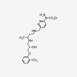 CCOC(=O)N(N)c1ccc(CNCCC(C)NCC(O)COc2ccccc2C)nn1